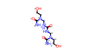 NC(=O)N(CCO)CNC(=O)NCN(CCO)C(N)=O